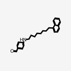 O=Cc1ccc(NCCCCCCCCc2cccc3ccccc23)cc1